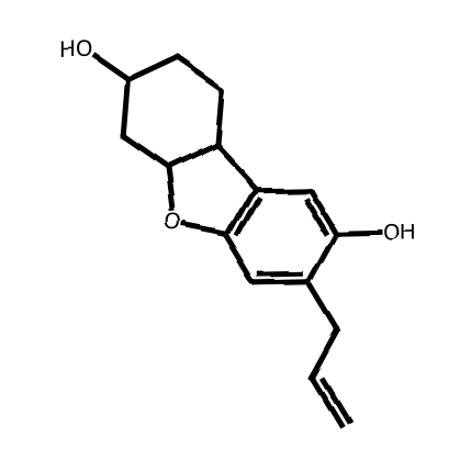 C=CCc1cc2c(cc1O)C1CCC(O)CC1O2